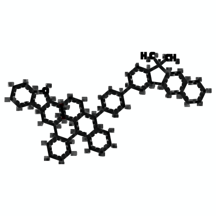 CC1(C)c2ccc(-c3ccc(-c4c5ccccc5c(-c5ccccc5-c5ccc6oc7ccccc7c6c5)c5ccccc45)cc3)cc2-c2cc3ccccc3cc21